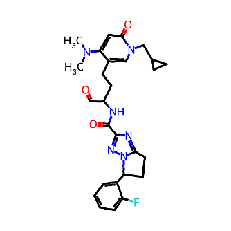 CN(C)c1cc(=O)n(CC2CC2)cc1CCC(C=O)NC(=O)c1nc2n(n1)C(c1ccccc1F)CC2